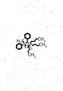 CCC[CH2][Sn]([CH2]CCC)([CH2]CCC)[CH](c1ccccc1)[Si](C)(C)c1ccccc1